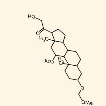 COCOC1CCC2(C)C(CCC3C4CCC(C(=O)CO)C4(C)CC(OC(C)=O)C32)C1